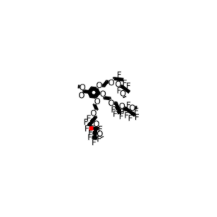 COC(=O)c1cc(OCCOCC(C)(F)OC(F)(F)C(C)(F)OC)c(OCCOCC(F)(OC(F)(F)C(F)(OC)C(F)(F)F)C(F)(F)F)c(OCCOCC(F)(OC(F)(F)C(F)(OC)C(F)(F)F)C(F)(F)F)c1